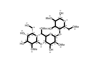 COCC1O[C@@H](O[C@H]2C(O)C(OC)[C@H](O)O[C@H]2COC)[C@@H](OC)C(O)[C@@H]1O[C@@H]1O[C@@H](CO)[C@@H](O)C(O)C1OC